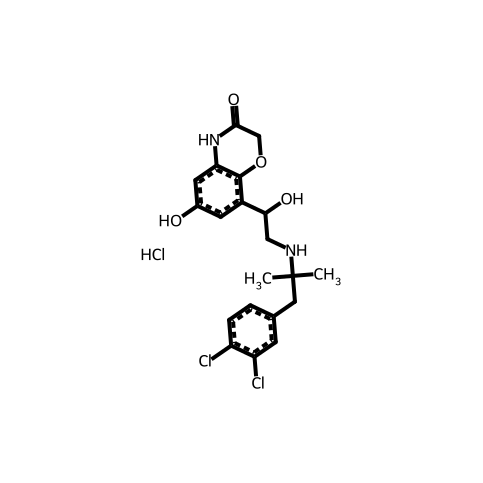 CC(C)(Cc1ccc(Cl)c(Cl)c1)NCC(O)c1cc(O)cc2c1OCC(=O)N2.Cl